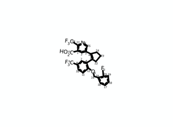 O=C(O)c1cc(C2=C(c3cc(C(F)(F)F)ccc3OCc3ccccc3F)CCC2)cnc1C(F)(F)F